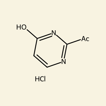 CC(=O)c1nccc(O)n1.Cl